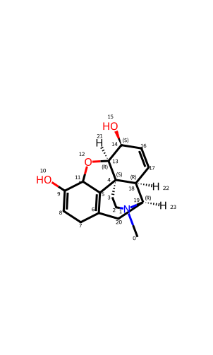 CN1CC[C@]23C4=C5CC=C(O)[C]4O[C@H]2[C@@H](O)C=C[C@H]3[C@H]1C5